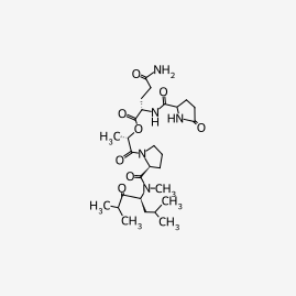 CC(C)C[C@@H](C(=O)C(C)C)N(C)C(=O)[C@@H]1CCCN1C(=O)[C@H](C)OC(=O)[C@H](CCC(N)=O)NC(=O)C1CCC(=O)N1